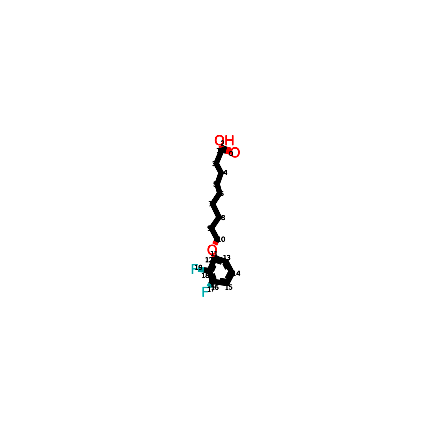 O=C(O)CCCCCCCCOc1cccc(F)c1F